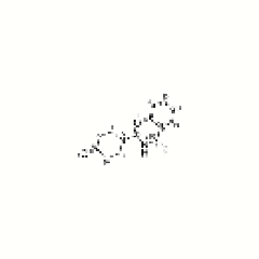 C[C@H](NC(=O)N1CCC(=O)CC1)c1ccccc1